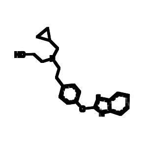 OCCN(CCc1ccc(Oc2nc3ccccc3s2)cc1)CC1CC1